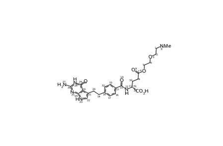 CNCCOCCOC(=O)CC[C@H](NC(=O)c1ccc(CCc2c[nH]c3nc(N)[nH]c(=O)c23)cc1)C(=O)O